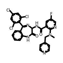 CN(Cc1ccncc1)c1ncc(F)cc1C(=O)NC1N=C(c2c(Cl)cc(Cl)cc2Cl)c2ccccc2NC1=O